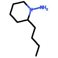 CCCCC1CCCCN1N